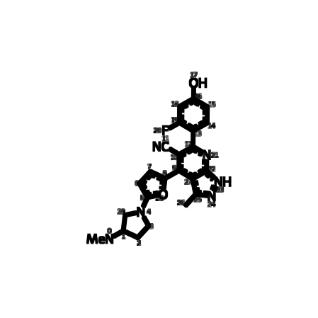 CNC1CCN(c2ccc(-c3c(C#N)c(-c4ccc(O)cc4F)nc4[nH]nc(C)c34)o2)C1